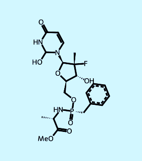 COC(=O)[C@H](C)N[P@@](=O)(Cc1ccccc1)OC[C@H]1O[C@@H](N2C=CC(=O)NC2O)[C@](C)(F)[C@@H]1O